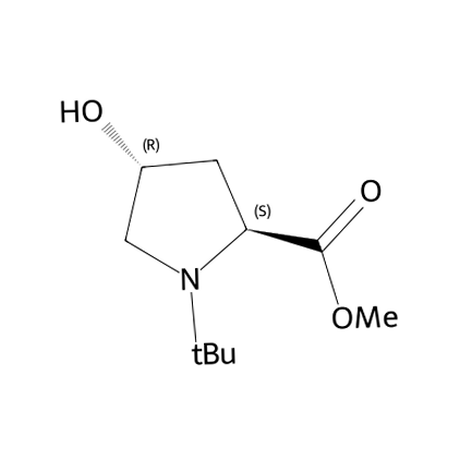 COC(=O)[C@@H]1C[C@@H](O)CN1C(C)(C)C